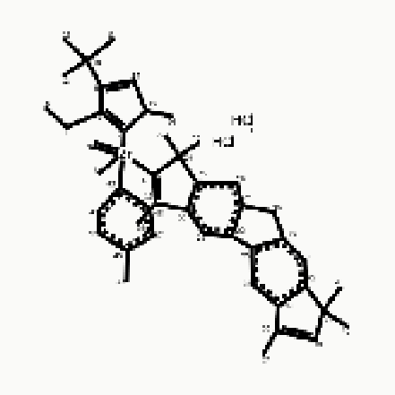 Cl.Cl.[CH2]=[Zr]([CH3])([C]1=C(CC)C(C(C)(C)C)=CC1C)([C]1=C(C)c2cc3c(cc2C1(C)C)Cc1cc2c(cc1-3)C(C)=CC2(C)C)[c]1ccc(C)cc1